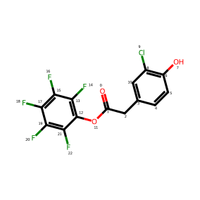 O=C(Cc1ccc(O)c(Cl)c1)Oc1c(F)c(F)c(F)c(F)c1F